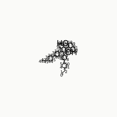 CCCC1CCC(c2ccc(-c3c(O)c(-c4c(O)ccc5ccccc45)c4ccccc4c3-c3ccc(C4CCC(CCC)CC4)cc3)cc2)CC1